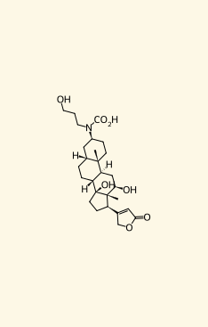 C[C@]12CC[C@H](N(CCCO)C(=O)O)C[C@H]1CC[C@@H]1[C@@H]2C[C@@H](O)[C@]2(C)[C@@H](C3=CC(=O)OC3)CC[C@]12O